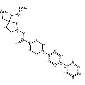 COCC1(COOC)CCN(CC(=O)N2CCN(c3ccc(-c4ncccn4)cc3)CC2)C1